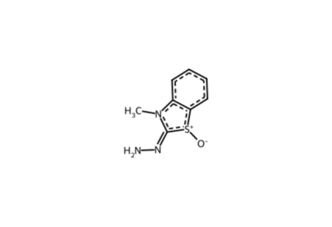 Cn1c(=NN)[s+]([O-])c2ccccc21